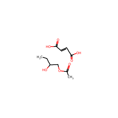 CCC(O)COC(C)=O.O=C(O)C=CC(=O)O